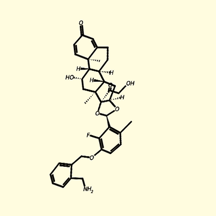 Cc1ccc(OCc2ccccc2CN)c(F)c1[C@@H]1O[C@@H]2C[C@H]3[C@@H]4CCC5=CC(=O)C=C[C@]5(C)[C@H]4[C@@H](O)C[C@]3(C)[C@]2(C(=O)CO)O1